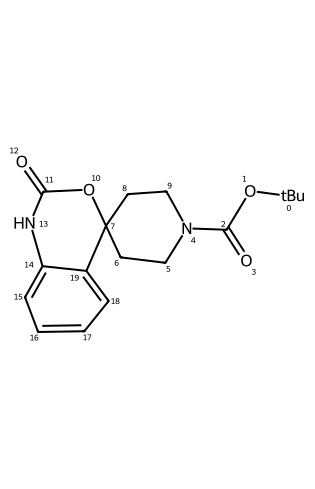 CC(C)(C)OC(=O)N1CCC2(CC1)OC(=O)Nc1ccccc12